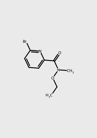 CCON(C)C(=O)c1cccc(Br)n1